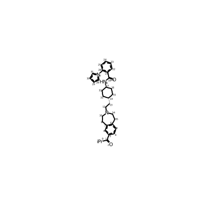 CC(C)C(=O)c1ccc2c(c1)CCN(CC[C@H]1CC[C@H](NC(=O)c3ccccc3-n3cccc3)CC1)CC2